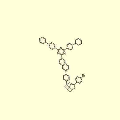 Brc1ccc(C23CC4CC5CC(c6ccc(-c7ccc8cc(-c9nc(-c%10ccc(-c%11ccccc%11)cc%10)nc(-c%10ccc(-c%11ccccc%11)cc%10)n9)ccc8c7)cc6)(C2)C45C3)cc1